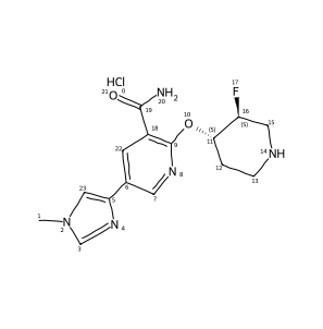 Cl.Cn1cnc(-c2cnc(O[C@H]3CCNC[C@@H]3F)c(C(N)=O)c2)c1